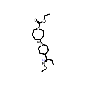 CCOC(=O)N1CCC[C@H](N2CCC(/C(CC)=N/OC)CC2)CC1